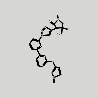 CN1CC(F)(F)[C@@](O)(c2cn(-c3cccc(-c4ccnc(Nc5ccn(C)n5)n4)n3)nn2)C1=O